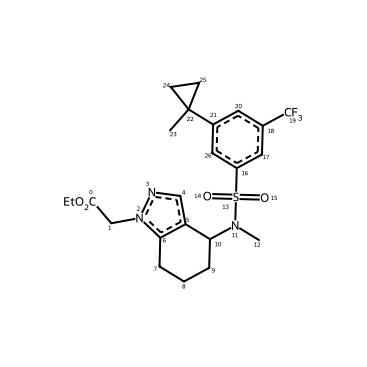 CCOC(=O)Cn1ncc2c1CCCC2N(C)S(=O)(=O)c1cc(C(F)(F)F)cc(C2(C)CC2)c1